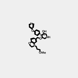 COCCCN1CCOc2ccc(CO[C@H]3CNC[C@@H](O)[C@@H]3c3ccc(Oc4ccncc4)cc3)cc21